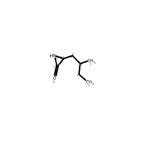 CCC(C)CC1NC1=O